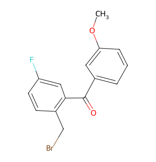 COc1cccc(C(=O)c2cc(F)ccc2CBr)c1